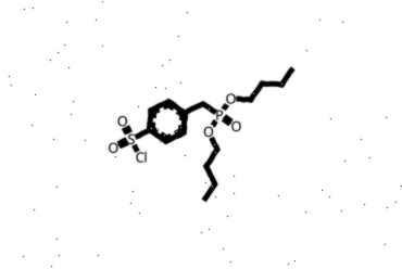 CCCCOP(=O)(Cc1ccc(S(=O)(=O)Cl)cc1)OCCCC